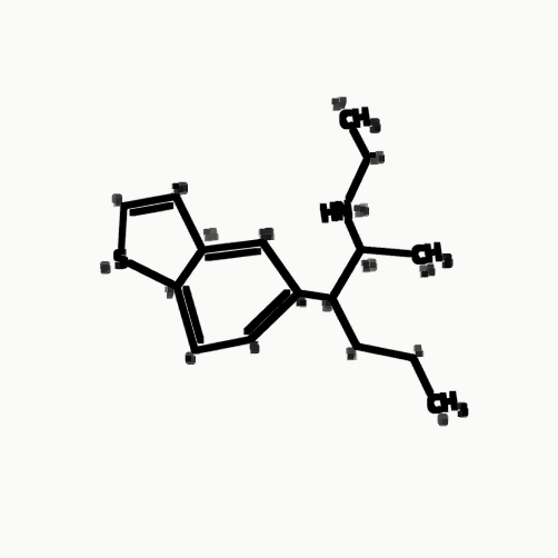 CCCC(c1ccc2sccc2c1)C(C)NCC